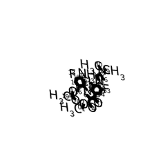 CCOC(=O)c1cn(-c2cc(N)c(F)cc2COC(C)=O)c2c(Cl)c(N3CC(N(C)C)C3)c(F)cc2c1=O